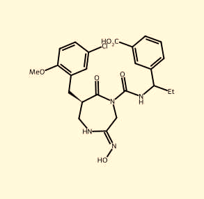 CCC(NC(=O)N1C/C(=N/O)NC[C@@H](Cc2cc(Cl)ccc2OC)C1=O)c1cccc(C(=O)O)c1